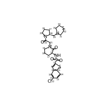 O=C1[C@@H](NS(=O)(=O)c2cc3cc(Cl)ccc3s2)CCCN1CC(=O)N1CCC[C@H]1CN1CCSCC1